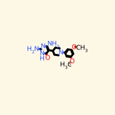 COc1cc(OC)cc(N2CCC(c3c(N)nc(N)[nH]c3=O)CC2)c1